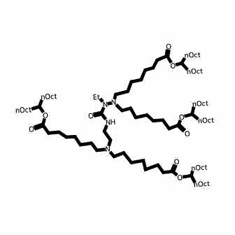 CCCCCCCCC(CCCCCCCC)OC(=O)CCCCCCCN(CCCCCCCC(=O)OC(CCCCCCCC)CCCCCCCC)CCNC(=O)N(CC)N(CCCCCCCC(=O)OC(CCCCCCCC)CCCCCCCC)CCCCCCCC(=O)OC(CCCCCCCC)CCCCCCCC